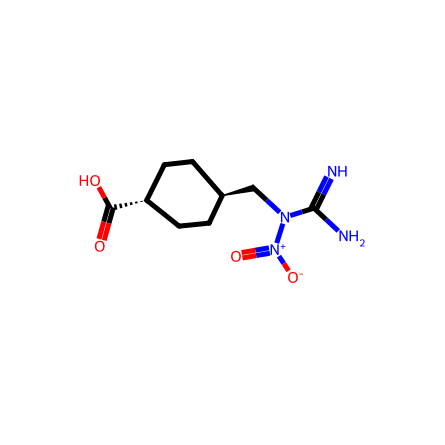 N=C(N)N(C[C@H]1CC[C@H](C(=O)O)CC1)[N+](=O)[O-]